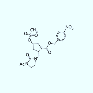 CC(=O)N1CCN(C[C@@H]2C[C@@H](OS(C)(=O)=O)CN2C(=O)OCc2ccc([N+](=O)[O-])cc2)C1=O